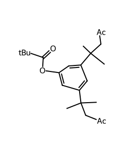 CC(=O)CC(C)(C)c1cc(OC(=O)C(C)(C)C)cc(C(C)(C)CC(C)=O)c1